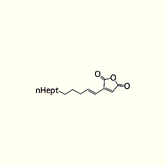 CCCCCCCCCCC=CC1=CC(=O)OC1=O